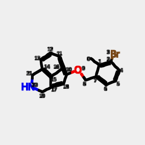 Cc1c(Br)cccc1COC1=C2C=CC3=C(C2)C(=C1)CNC3